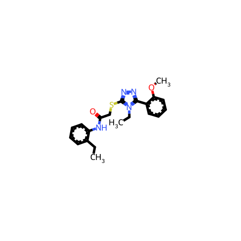 CCc1ccccc1NC(=O)CSc1nnc(-c2ccccc2OC)n1CC